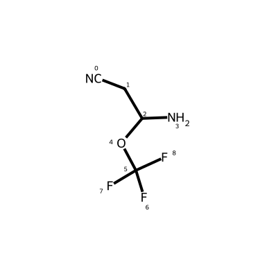 N#CCC(N)OC(F)(F)F